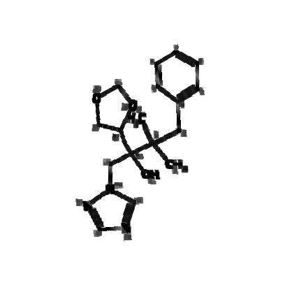 CC(C)(Cc1ccccc1)C(O)(Cn1cncn1)C1COCO1